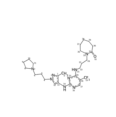 Cc1nn(CCCN2CCCC2)cc1Nc1ncc(C(F)(F)F)c(NCCCN2CCCCCC2=O)n1